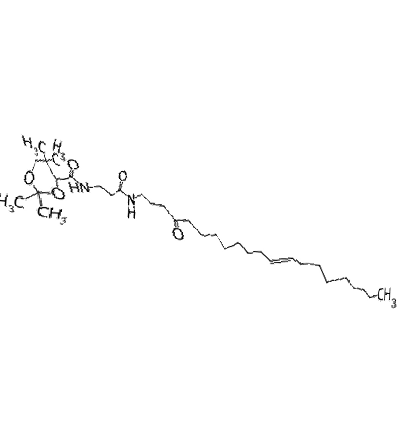 CCCCCCCCC=CCCCCCCCC(=O)CCCNC(=O)CCNC(=O)C1OC(C)(C)OCC1(C)C